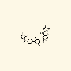 Cc1cc(Nc2nc(Nc3cc(C)c(C4CCN(C(=O)N5CCNC5=O)CC4)cc3C)ncc2Cl)n[nH]1